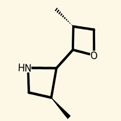 C[C@@H]1COC1C1NC[C@@H]1C